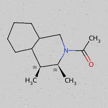 CC(=O)N1CC2CCCCC2[C@H](C)[C@@H]1C